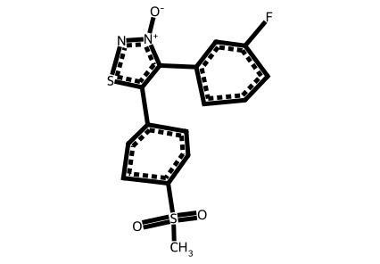 CS(=O)(=O)c1ccc(-c2sn[n+]([O-])c2-c2cccc(F)c2)cc1